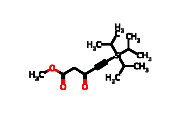 COC(=O)CC(=O)C#C[Si](C(C)C)(C(C)C)C(C)C